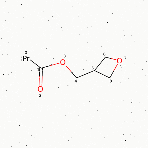 CC(C)C(=O)OCC1COC1